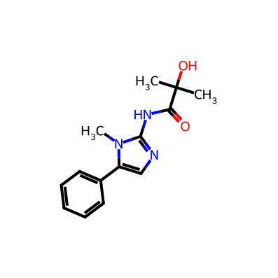 Cn1c(-c2ccccc2)cnc1NC(=O)C(C)(C)O